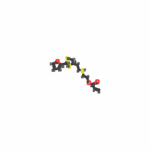 C=CC(=O)OCCSCCC1CSC(c2ccco2)S1